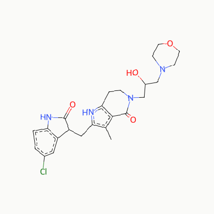 Cc1c(CC2C(=O)Nc3ccc(Cl)cc32)[nH]c2c1C(=O)N(CC(O)CN1CCOCC1)CC2